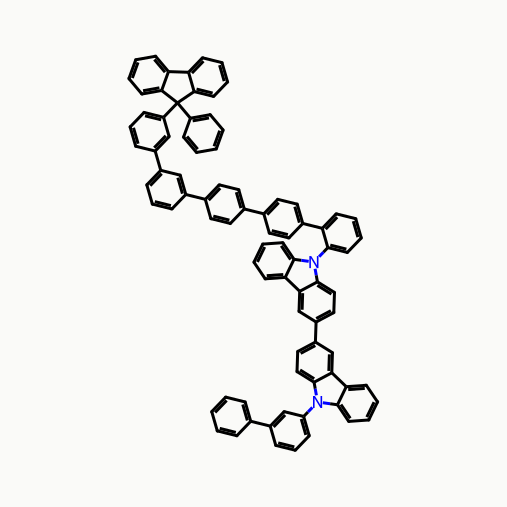 c1ccc(-c2cccc(-n3c4ccccc4c4cc(-c5ccc6c(c5)c5ccccc5n6-c5ccccc5-c5ccc(-c6ccc(-c7cccc(-c8cccc(C9(c%10ccccc%10)c%10ccccc%10-c%10ccccc%109)c8)c7)cc6)cc5)ccc43)c2)cc1